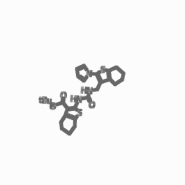 CC(C)(C)OC(=O)c1c(NC(=O)NCc2c(-n3cccc3)sc3c2CCCC3)sc2c1CCCC2